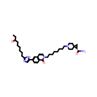 CCC(=O)CCCCCCc1ncc(-c2ccc3c(=O)n(CCCCCCCCN4CCC5(CC4)C[C@@H]5C(N)=O)ccc3c2)[nH]1